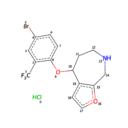 Cl.FC(F)(F)c1cc(Br)ccc1OC1CCNCc2occc21